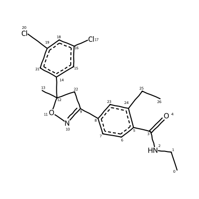 CCNC(=O)c1ccc(C2=NOC(C)(c3cc(Cl)cc(Cl)c3)C2)cc1CC